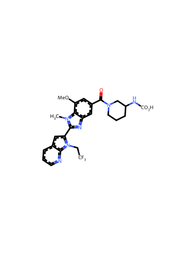 COc1cc(C(=O)N2CCCC(NC(=O)O)C2)cc2nc(-c3cc4cccnc4n3CC(F)(F)F)n(C)c12